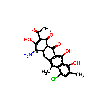 CC(=O)C1=C(O)[C@H](N)C2Cc3c(c(O)c4c(O)c(C)cc(Cl)c4c3C)C(=O)C2C1=O